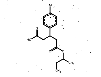 CCC(C)OC(=O)CC(CC(=O)O)c1ccc(N)cc1